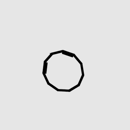 [CH]1C=CCCCCCCC=C1